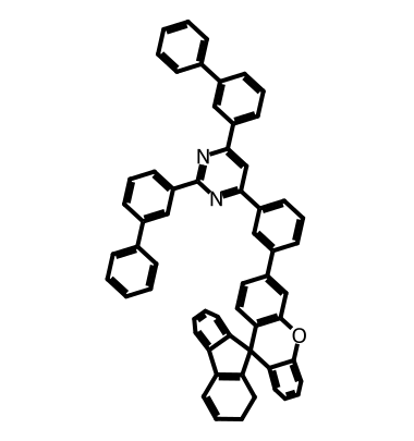 C1=CC2=C(CC1)C1(c3ccccc3Oc3cc(-c4cccc(-c5cc(-c6cccc(-c7ccccc7)c6)nc(-c6cccc(-c7ccccc7)c6)n5)c4)ccc31)c1ccccc12